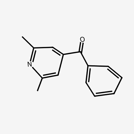 Cc1cc(C(=O)c2ccccc2)cc(C)n1